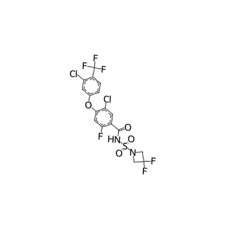 O=C(NS(=O)(=O)N1CC(F)(F)C1)c1cc(Cl)c(Oc2ccc(C(F)(F)F)c(Cl)c2)cc1F